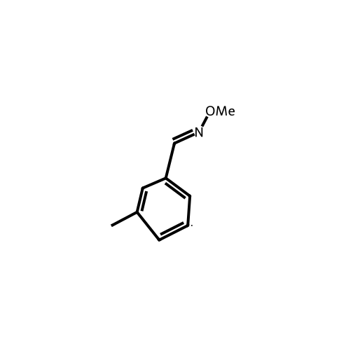 CON=Cc1c[c]cc(C)c1